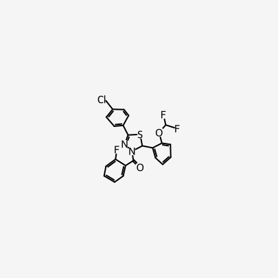 O=C(c1ccccc1F)N1N=C(c2ccc(Cl)cc2)SC1c1ccccc1OC(F)F